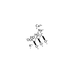 O=C([O-])O.O=C([O-])O.O=C([O-])[O-].[Ca+2].[K+].[Na+]